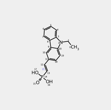 CCn1c2ccccc2c2cc(/C=C/P(=O)(O)O)ccc21